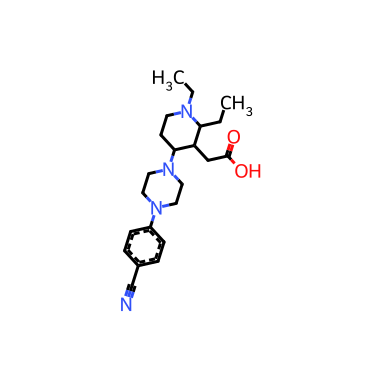 CCC1C(CC(=O)O)C(N2CCN(c3ccc(C#N)cc3)CC2)CCN1CC